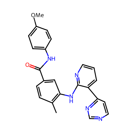 COc1ccc(NC(=O)c2ccc(C)c(Nc3ncccc3-c3ccncn3)c2)cc1